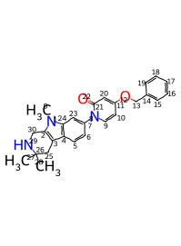 Cn1c2c(c3ccc(-n4ccc(OCc5ccccc5)cc4=O)cc31)CC(C)(C)NC2